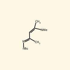 CCCC/N=C(C)/C=C(/C)NC